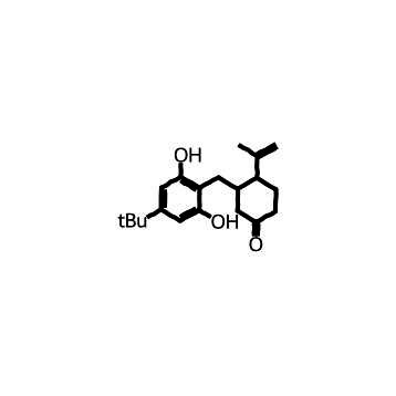 C=C(C)C1CCC(=O)CC1Cc1c(O)cc(C(C)(C)C)cc1O